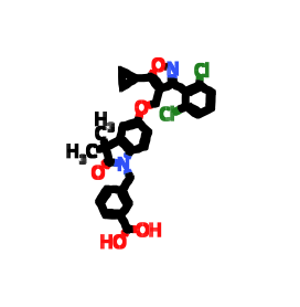 CC1(C)C(=O)N(Cc2cccc(C(O)O)c2)c2ccc(OCc3c(-c4c(Cl)cccc4Cl)noc3C3CC3)cc21